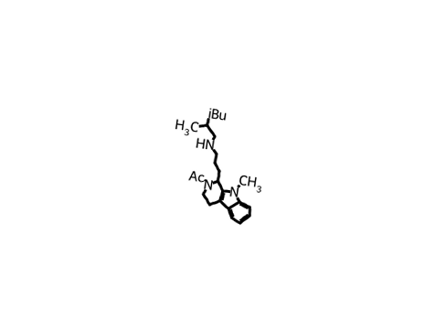 CCC(C)C(C)CNCCCC1c2c(c3ccccc3n2C)CCN1C(C)=O